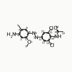 COc1cc(N)c(C)cc1N=Nc1cc(Cl)c(NC(C)=O)c(Cl)c1